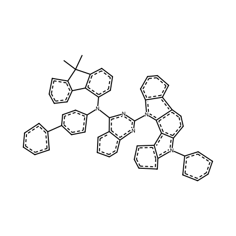 CC1(C)c2ccccc2-c2c(N(c3ccc(-c4ccccc4)cc3)c3nc(-n4c5ccccc5c5ccc6c(c7ccccc7n6-c6ccccc6)c54)nc4ccccc34)cccc21